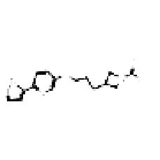 CC(=O)N1CC(CCCOc2ccc(-c3ccn[nH]3)nc2)C1